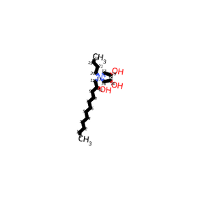 CCCCCCCCCCC(O)C[N+](CCO)(CCO)CCCC